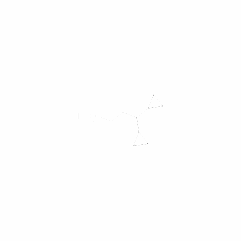 CCOC(=O)CCC(C1CC1)C1CC1